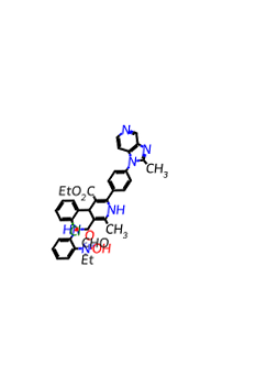 CCOC(=O)C1=C(c2ccc(-n3c(C)nc4cnccc43)cc2)NC(C)=C(C(=O)Nc2ccccc2[N+](O)(C=O)CC)C1c1ccccc1Cl